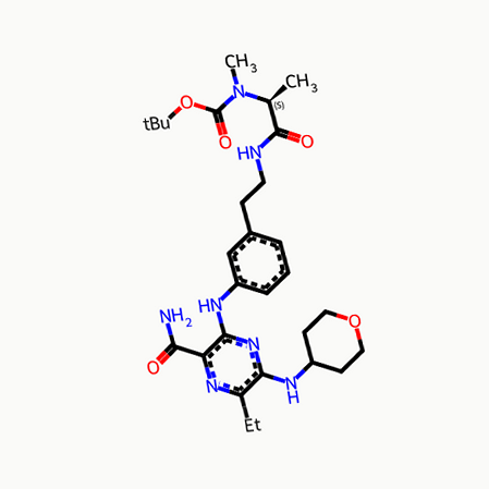 CCc1nc(C(N)=O)c(Nc2cccc(CCNC(=O)[C@H](C)N(C)C(=O)OC(C)(C)C)c2)nc1NC1CCOCC1